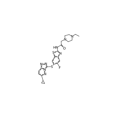 CCN1CCN(CC(=O)Nc2nc3cc(F)c(Sc4nnc5ccc(C6CC6)nn45)cc3s2)CC1